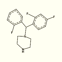 Fc1ccc(C(c2ccccc2F)N2CCNCC2)c(F)c1